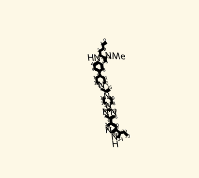 C=CCCC(Nc1ccc(C2CCN(CC(=C)N3CCN(c4ncc(-c5cnc6c(c5)C(C=C)CN6)cn4)CC3)CC2)cc1)C(=C)NC